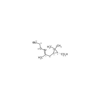 CC(CC1[C@@H](C(=O)O)C1(C)C)=NOCC(C)(C)C